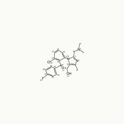 Cc1nc(CN(C)C)n(-c2cccc(Cl)c2C(=O)c2ccc(F)cc2)c1CO